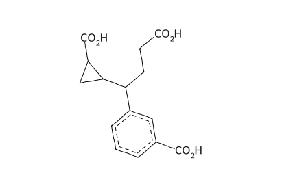 O=C(O)CCC(c1cccc(C(=O)O)c1)C1CC1C(=O)O